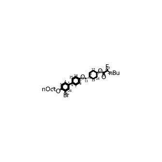 CCCCCCCCOc1ccc(-c2ccc(OC[C@H]3CC[C@H](OC(=O)[C@@H](F)CCCC)CC3)cc2)cc1Br